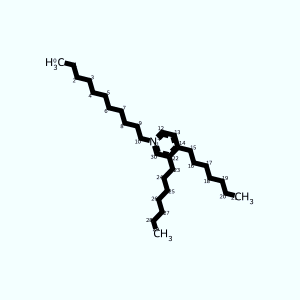 CCCCCCCCCCC[n+]1ccc(CCCCCCC)c(CCCCCCC)c1